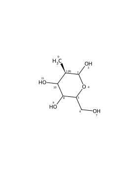 C[C@H]1C(O)OC(CO)C(O)C1O